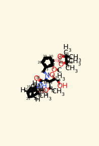 COc1c(CN2O[C@@H](CO)[C@@H]([C@H](C)O)[C@H]2C(=O)N[C@H]2C[C@H]3C[C@@H]([C@@H]2C)C3(C)C)cccc1B1OC(C)(C)C(C)(C)O1